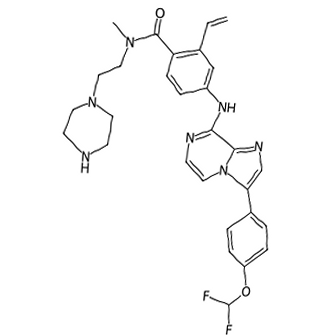 C=Cc1cc(Nc2nccn3c(-c4ccc(OC(F)F)cc4)cnc23)ccc1C(=O)N(C)CCN1CCNCC1